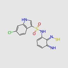 N=C1C=CC=C(NS(=O)(=O)c2c[nH]c3cc(Cl)ccc23)/C1=N/S